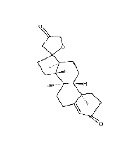 C[C@]12CCC(=O)C=C1CC[C@@H]1[C@@H]2CC[C@@]2(C)[C@H]1CCC21CC(=O)CO1